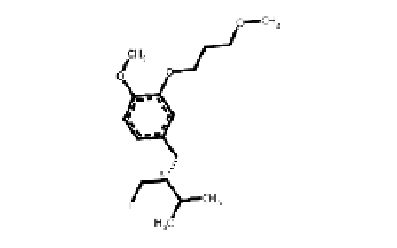 COCCCOc1cc(C[C@@H](CI)C(C)C)ccc1OC